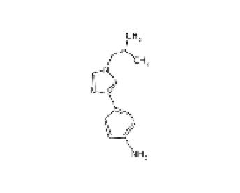 C[C](C)Cn1cnc(-c2ccc(N)cc2)c1